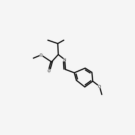 COC(=O)C(N=Cc1ccc(OC)cc1)C(C)C